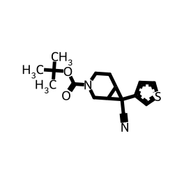 CC(C)(C)OC(=O)N1CCC2C(C1)C2(C#N)c1ccsc1